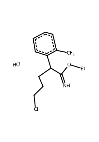 CCOC(=N)C(CCCCl)c1ccccc1C(F)(F)F.Cl